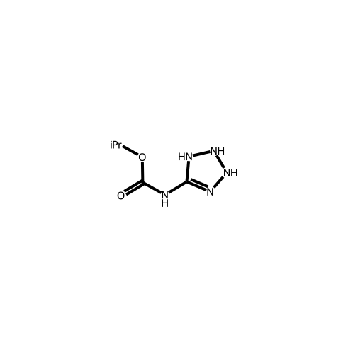 CC(C)OC(=O)NC1=NNNN1